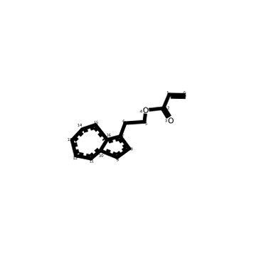 C=CC(=O)OCCc1ccc2cccccc1-2